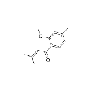 COc1cc(C)ccc1C(=O)C=C(C)C